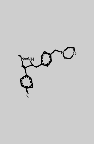 CN1C=C(c2ccc(Cl)cc2)C(Cc2ccc(CN3CCOCC3)cc2)N1